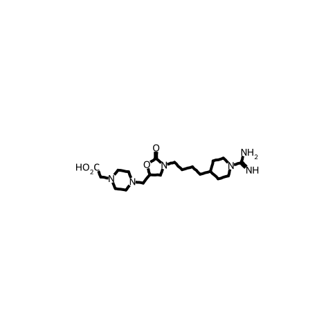 N=C(N)N1CCC(CCCCN2CC(CN3CCN(CC(=O)O)CC3)OC2=O)CC1